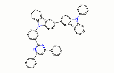 C1=c2c(n(-c3cccc(-c4nc(-c5ccccc5)cc(-c5ccccc5)n4)c3)c3ccc(-c4ccc5c(c4)c4ccccc4n5-c4ccccc4)cc23)=CCC1